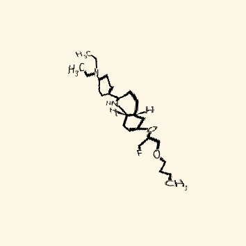 CCCCOCC(CF)OC1=CC[C@@H]2NC(C3=CC[C@H](N(CC)CC)CC3)CC[C@@H]2C1